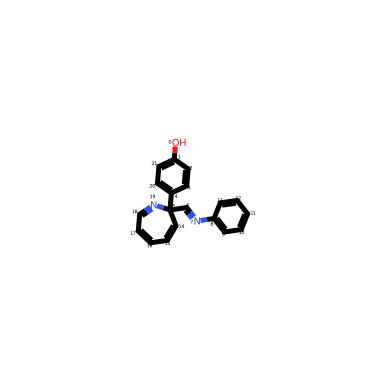 Oc1ccc(C2(C=Nc3ccccc3)C=CC=CC=N2)cc1